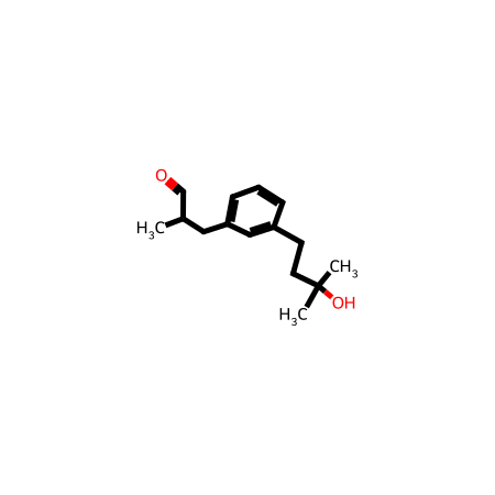 CC(C=O)Cc1cccc(CCC(C)(C)O)c1